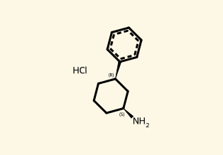 Cl.N[C@H]1CCC[C@@H](c2ccccc2)C1